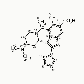 Cc1c(C(=O)O)cc2cc(-c3cncs3)cn2c1C(C)N1CCC(N(C)C)CC1